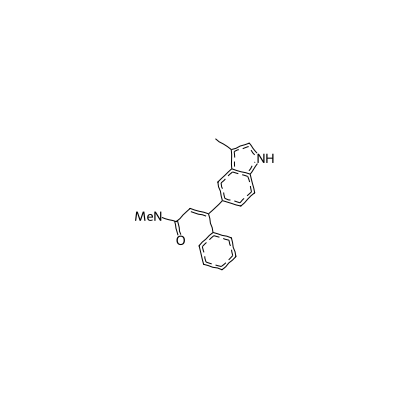 CNC(=O)C=C(c1ccccc1)c1ccc2[nH]cc(C)c2c1